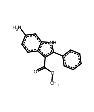 COC(=O)c1c(-c2ccccc2)[nH]c2cc(N)ccc12